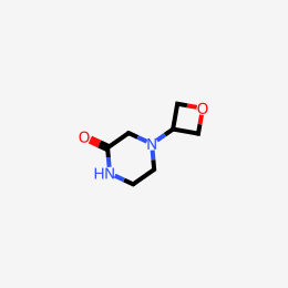 O=C1CN(C2COC2)CCN1